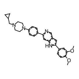 COc1ccc(-c2cc3cnc(-c4ccc(N5CCN(CC6CC6)CC5)cc4)cc3[nH]2)cc1OC